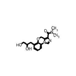 CN(C)C(=O)c1ncn2c1COc1c(CC(O)CO)cccc1-2